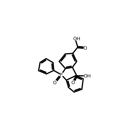 O=C(O)c1ccc(P(=O)(c2ccccc2)c2ccccc2)c(C(=O)O)c1